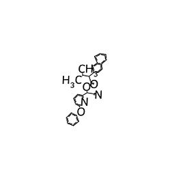 CC(C)C(C(=O)OC(C#N)c1cccc(Oc2ccccc2)n1)c1ccc2ccccc2c1